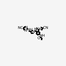 C=CC(=O)Nc1ccc2c(N3CCC(CNc4ncc(C#N)cn4)C3)nnc(N3CC(C#N)C3)c2c1